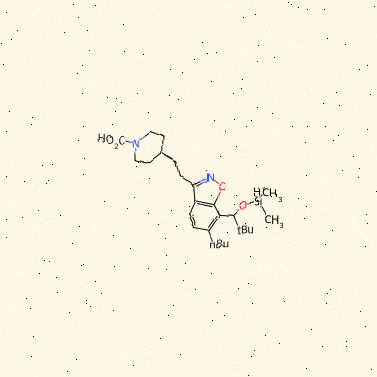 CCCCc1ccc2c(CCC3CCN(C(=O)O)CC3)noc2c1C(O[SiH](C)C)C(C)(C)C